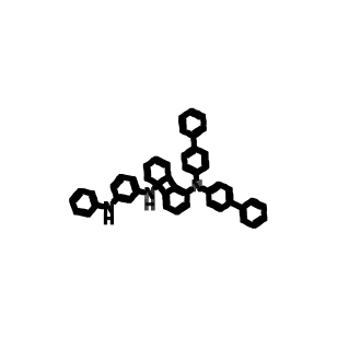 C1=CC2c3c(N(c4ccc(-c5ccccc5)cc4)c4ccc(-c5ccccc5)cc4)cccc3C2(Nc2cccc(Nc3ccccc3)c2)C=C1